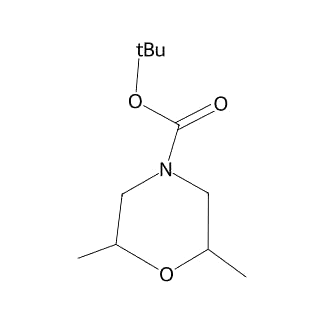 CC1CN(C(=O)OC(C)(C)C)CC(C)O1